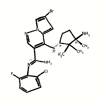 CC1(C)[C@H](Nc2c(/C(N)=N/c3c(F)cccc3Cl)cnn3cc(Br)cc23)CC[C@]1(C)N